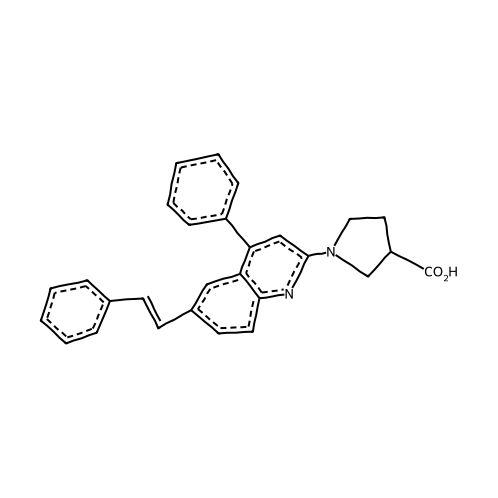 O=C(O)C1CCN(c2cc(-c3ccccc3)c3cc(C=Cc4ccccc4)ccc3n2)C1